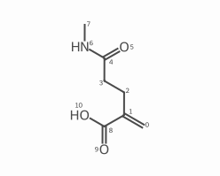 C=C(CCC(=O)NC)C(=O)O